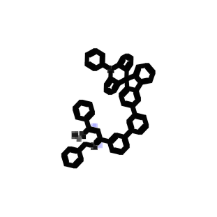 N/C(=C\C(=N/Cc1ccccc1)c1cccc(-c2cccc(-c3ccc4c(c3)-c3ccccc3C43c4ccccc4N(c4ccccc4)c4ccccc43)c2)c1)c1ccccc1